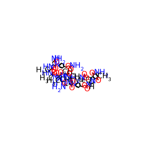 CO[C@]12C3[C@H](CN1C1=C(C(=O)C(N)=C(C)C1=O)[C@H]2COC(N)=O)N3C(=O)OCc1ccc(NC(=O)[C@H](CC(N)=O)NC(=O)[C@H](C)NC(=O)[C@H](C)NC(=O)C(C(=O)N[C@@H](C)C(=O)N[C@@H](C)C(=O)N[C@@H](CC(N)=O)C(=O)Nc2ccc(COC(N)=O)cc2)N(C)C)cc1